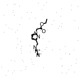 CCOC(=O)Cn1ccc(CN=[N+]=[N-])n1